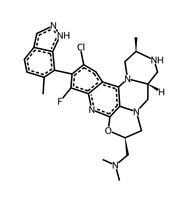 Cc1ccc2cn[nH]c2c1-c1c(Cl)cc2c3c4c(nc2c1F)O[C@H](CN(C)C)CN4C[C@H]1CN[C@H](C)CN31